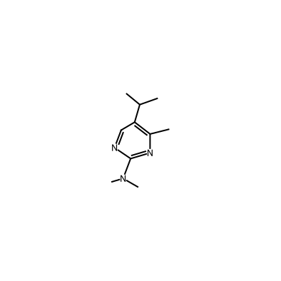 Cc1nc(N(C)C)ncc1C(C)C